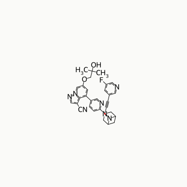 CC(C)(O)COc1cc(-c2ccc(N3CC4CC(C3)N4CC#Cc3cncc(F)c3)nc2)c2c(C#N)cnn2c1